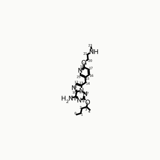 CCCC(C)Oc1nc(N)c2ncc(Cc3ccc(OCCNC)nc3)n2n1